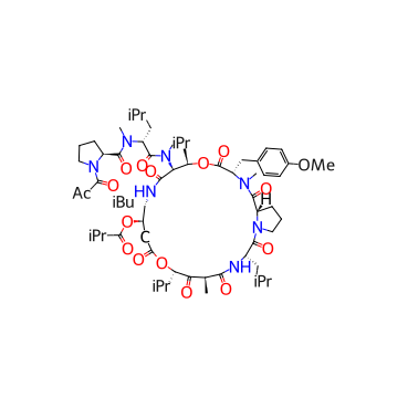 CC[C@H](C)[C@@H]1NC(=O)[C@@H](N(C(=O)[C@@H](CC(C)C)N(C)C(=O)[C@@H]2CCCN2C(=O)C(C)=O)C(C)C)[C@@H](C)OC(=O)[C@H](Cc2ccc(OC)cc2)N(C)C(=O)[C@@H]2CCCN2C(=O)[C@H](CC(C)C)NC(=O)[C@@H](C)C(=O)[C@H](C(C)C)OC(=O)C[C@H]1OC(=O)C(C)C